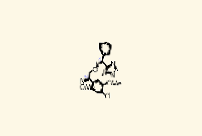 CO/N=C(/CO/N=C(/c1ccccc1)c1nnnn1C)c1ccc(Cl)c(OC)c1